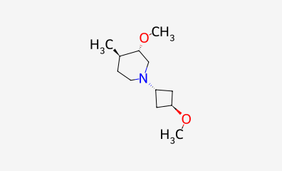 CO[C@@H]1CN([C@H]2C[C@H](OC)C2)CC[C@H]1C